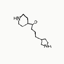 [O]C(CCCC1CCNC1)C1CCNCC1